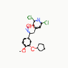 COc1ccc(C(Cc2cc(Cl)nc(Cl)c2)=NO)cc1OC1CCCC1